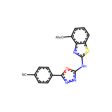 COc1cccc2sc(Nc3nnc(-c4ccc(C#N)cc4)o3)nc12